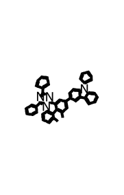 Cc1ccccc1-c1c(C)cc(-c2ccc3c(c2)c2ccccc2n3-c2ccccc2)cc1-c1nc(-c2ccccc2)nc(-c2ccccc2)n1